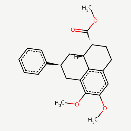 COC(=O)[C@@H]1CCc2cc(OC)c(OC)c3c2[C@@H]1C[C@H](c1ccccc1)C3